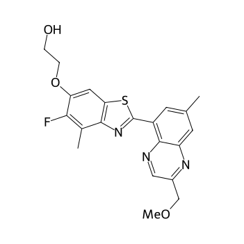 COCc1cnc2c(-c3nc4c(C)c(F)c(OCCO)cc4s3)cc(C)cc2n1